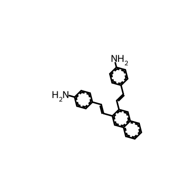 Nc1ccc(C=Cc2cc3ccccc3cc2C=Cc2ccc(N)cc2)cc1